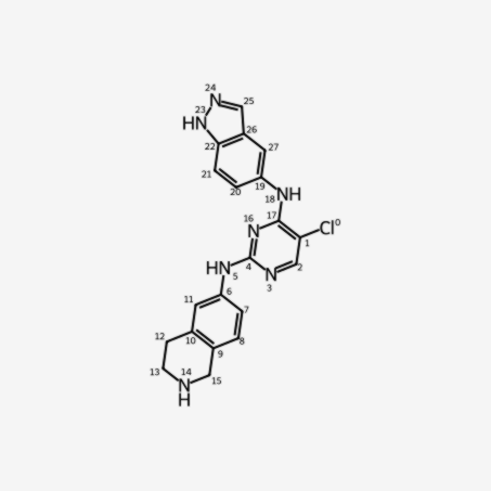 Clc1cnc(Nc2ccc3c(c2)CCNC3)nc1Nc1ccc2[nH]ncc2c1